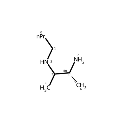 CCCCNC(C)[C@@H](C)N